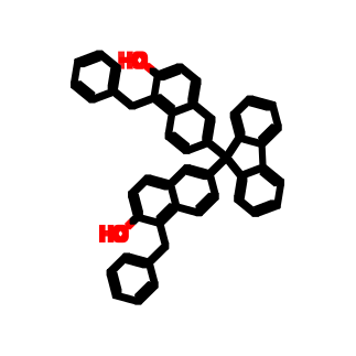 Oc1ccc2cc(C3(c4ccc5c(Cc6ccccc6)c(O)ccc5c4)c4ccccc4-c4ccccc43)ccc2c1Cc1ccccc1